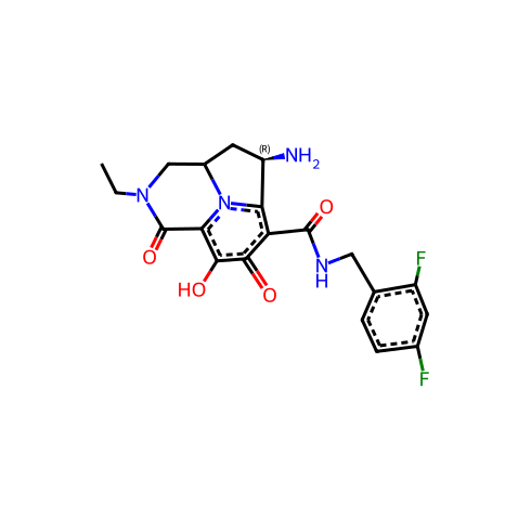 CCN1CC2C[C@@H](N)c3c(C(=O)NCc4ccc(F)cc4F)c(=O)c(O)c(n32)C1=O